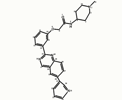 CN1CCC(NC(=O)COc2cccc(-c3ncc4cc(-c5cccnc5)ccc4n3)c2)CC1